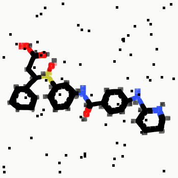 O=C(O)CC(c1ccccc1)[S+]([O-])c1cccc(NC(=O)c2ccc(Nc3ccccn3)cc2)c1